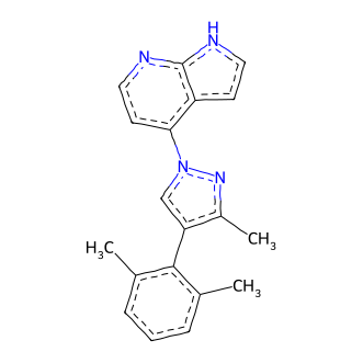 Cc1cccc(C)c1-c1cn(-c2ccnc3[nH]ccc23)nc1C